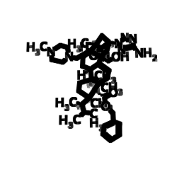 CC(C)[C@@H](C)[C@@]1(C)CC[C@]2(C)[C@H]3CC[C@@H]4[C@](CO)(C[C@@]5(n6nnc(N)n6)C[C@]4(C)[C@H]5OCCN4CCN(C)CC4)C3=CC[C@@]2(C)[C@@H]1C(=O)OCc1ccccc1